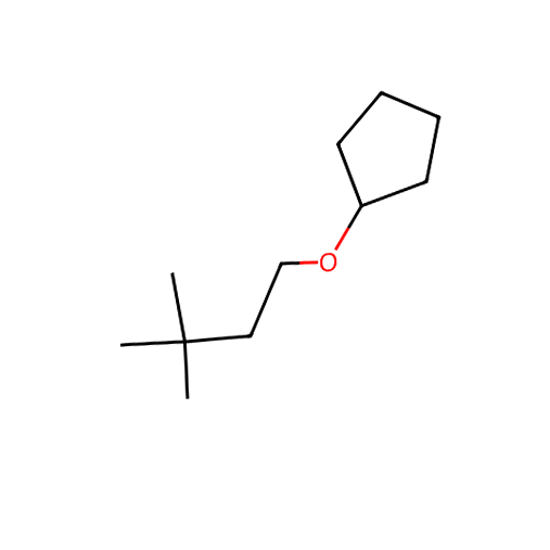 CC(C)(C)CCOC1CCCC1